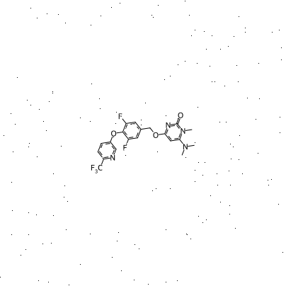 CN(C)c1cc(OCc2cc(F)c(Oc3ccc(C(F)(F)F)nc3)c(F)c2)nc(=O)n1C